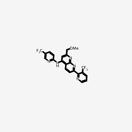 COCc1cc(Nc2ccc(C(F)(F)F)cn2)c2ccc(-c3ncccc3C(F)(F)F)nc2n1